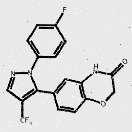 O=C1COc2ccc(-c3c(C(F)(F)F)cnn3-c3ccc(F)cc3)cc2N1